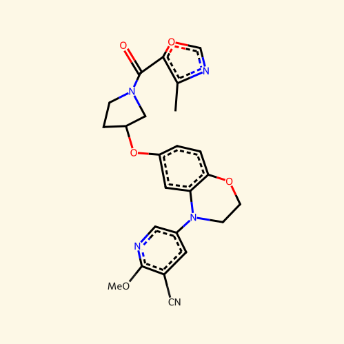 COc1ncc(N2CCOc3ccc(OC4CCN(C(=O)c5ocnc5C)C4)cc32)cc1C#N